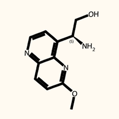 COc1ccc2nccc([C@H](N)CO)c2n1